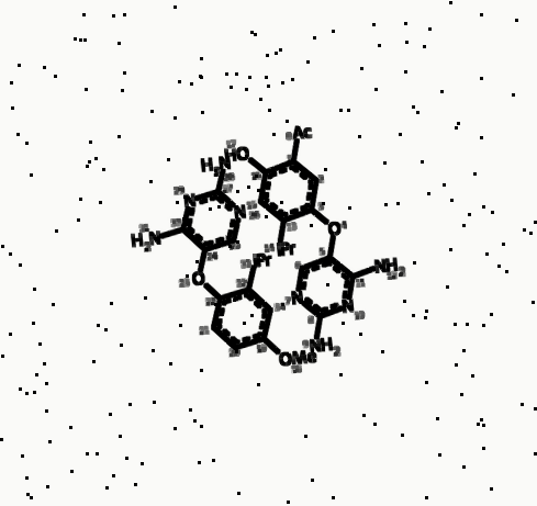 CC(=O)c1cc(Oc2cnc(N)nc2N)c(C(C)C)cc1O.COc1ccc(Oc2cnc(N)nc2N)c(C(C)C)c1